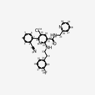 N#Cc1ccccc1-c1nc(NCCc2cccc(F)c2)c(C(=O)NCc2ccccn2)cc1Cl